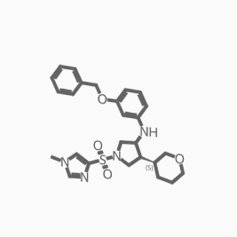 Cn1cnc(S(=O)(=O)N2CC(Nc3cccc(OCc4ccccc4)c3)C([C@@H]3CCCOC3)C2)c1